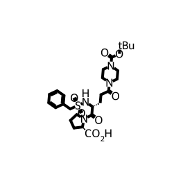 CC(C)(C)OC(=O)N1CCN(C(=O)CC[C@@H](NS(=O)(=O)Cc2ccccc2)C(=O)N2CCC[C@H]2C(=O)O)CC1